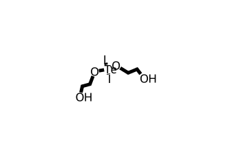 OCCO[Te](I)(I)OCCO